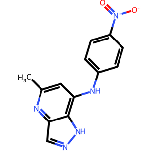 Cc1cc(Nc2ccc([N+](=O)[O-])cc2)c2[nH]ncc2n1